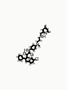 Cc1cc(C)nc(CNCCCN(C)c2ccc(NC(=O)C(=O)c3c(-c4ccccc4)cc4ccc(Cl)cn34)cc2)c1